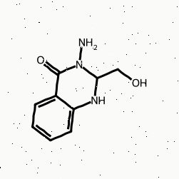 NN1C(=O)c2ccccc2NC1CO